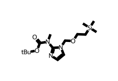 CN(C(=O)OC(C)(C)C)c1nccn1COCC[Si](C)(C)C